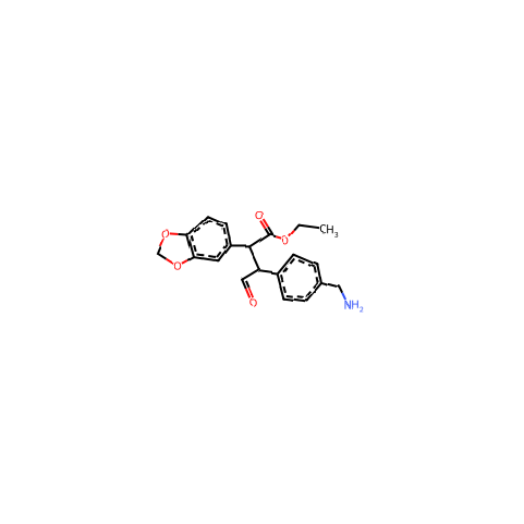 CCOC(=O)C(c1ccc2c(c1)OCO2)C(C=O)c1ccc(CN)cc1